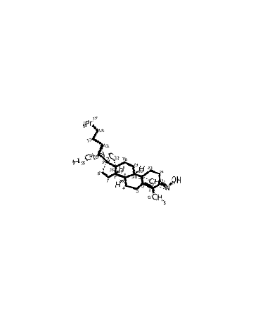 CC1=C2CC[C@H]3[C@@H]4CC[C@H]([C@H](C)CCCC(C)C)[C@@]4(C)CC[C@@H]3[C@@]2(C)CCC1=NO